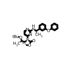 C[C@H](Nc1nccc(N2C(=O)OC[C@@H]2[C@@H](C)OC(C)(C)C)n1)c1cccc(Oc2ccccc2)c1